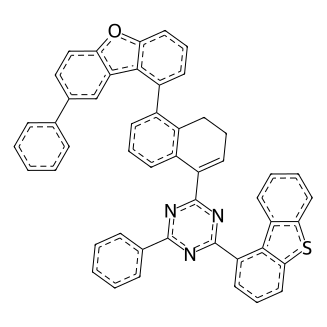 C1=C(c2nc(-c3ccccc3)nc(-c3cccc4sc5ccccc5c34)n2)c2cccc(-c3cccc4oc5ccc(-c6ccccc6)cc5c34)c2CC1